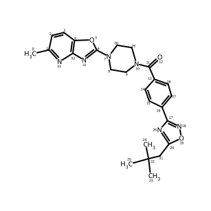 Cc1ccc2oc(N3CCN(C(=O)c4ccc(-c5noc(CC(C)(C)C)n5)cc4)CC3)nc2n1